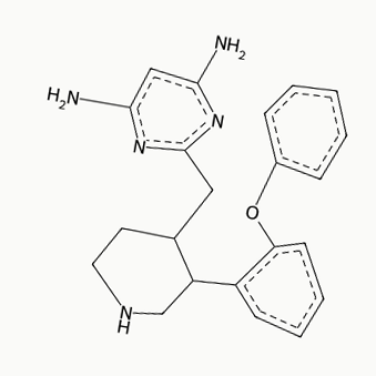 Nc1cc(N)nc(CC2CCNCC2c2ccccc2Oc2ccccc2)n1